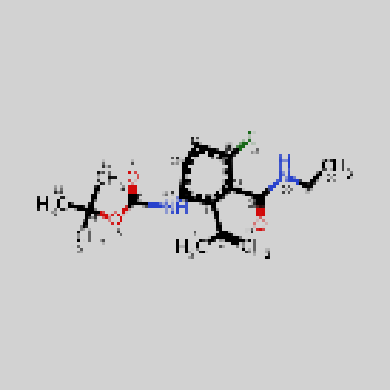 C=C(C)c1c(NC(=O)OC(C)(C)C)ccc(Cl)c1C(=O)NCC